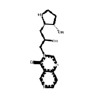 O=c1c2cnccc2ncn1CC(O)C[C@H]1NCC[C@@H]1O